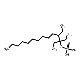 CCCCCCCCCCC(CC)C(CC)(CC)OP(=O)(O)O